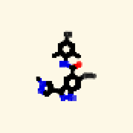 COc1cc2[nH]nc(-c3cnn(C)c3)c2cc1C(=O)Nc1c(C)cc(C#N)cc1C